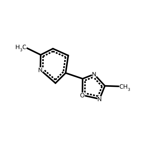 Cc1ccc(-c2nc(C)no2)cn1